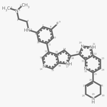 CN(C)CCNc1cc(F)cc(-c2cncc3[nH]c(-c4n[nH]c5ccc(C6=CCNCC6)nc45)cc23)c1